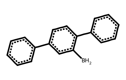 Bc1cc(-c2ccccc2)ccc1-c1ccccc1